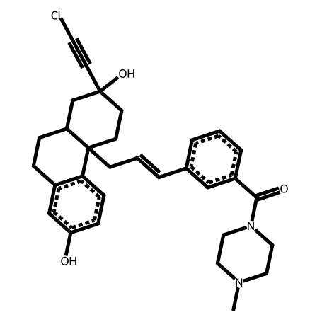 CN1CCN(C(=O)c2cccc(C=CCC34CCC(O)(C#CCl)CC3CCc3cc(O)ccc34)c2)CC1